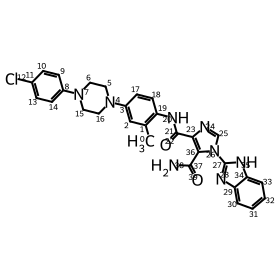 Cc1cc(N2CCN(c3ccc(Cl)cc3)CC2)ccc1NC(=O)c1ncn(-c2nc3ccccc3[nH]2)c1C(N)=O